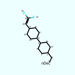 CCCCCCCCCCCC1CCC(C2CCC(C=C(F)F)CC2)CC1